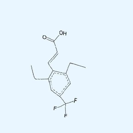 CCc1cc(C(F)(F)F)cc(CC)c1/C=C/C(=O)O